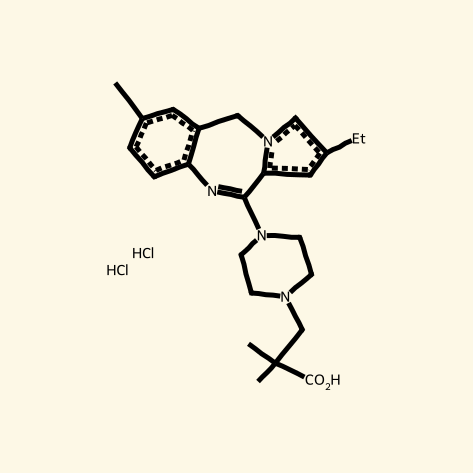 CCc1cc2n(c1)Cc1cc(C)ccc1N=C2N1CCN(CC(C)(C)C(=O)O)CC1.Cl.Cl